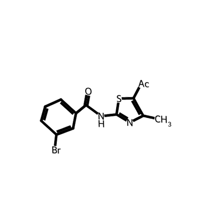 CC(=O)c1sc(NC(=O)c2cccc(Br)c2)nc1C